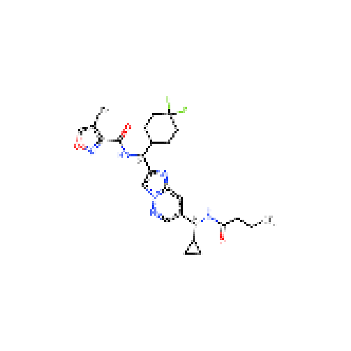 CC(C)c1conc1C(=O)N[C@H](c1cn2ncc([C@H](NC(=O)CCC(F)(F)F)C3CC3)cc2n1)C1CCC(F)(F)CC1